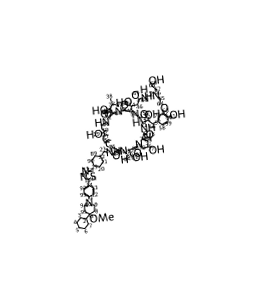 COC1(C2CCCCC2)CCN(c2ccc(-c3nnc([C@H]4CC[C@H](CN[C@H]5CC[C@@H](O)CNC(=O)[C@@H]6[C@@H](O)[C@@H](C)CN6C(=O)[C@H]([C@H](O)CC(N)=O)NC(=O)[C@H]([C@H](O)Cc6ccc(O)c(OCCNCCO)c6)NC(=O)[C@@H]6C[C@@H](O)CN6C(=O)[C@H]([C@@H](C)O)NC5=O)CC4)s3)cc2)CC1